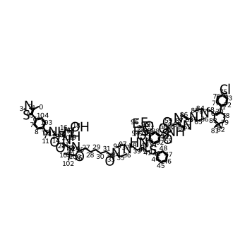 Cc1ncsc1-c1ccc([C@H](C)NC(=O)[C@@H]2C[C@@H](O)CN2C(=O)[C@@H](NC(=O)CCCCCC(=O)N2CCN(CC[C@H](CSc3ccccc3)Nc3ccc(S(=O)(=O)NC(=O)c4cnc(N5CCN(CC6=C(c7ccc(Cl)cc7)CCC(C)(C)C6)CC5)cn4)cc3S(=O)(=O)C(F)(F)F)CC2)C(C)(C)C)cc1